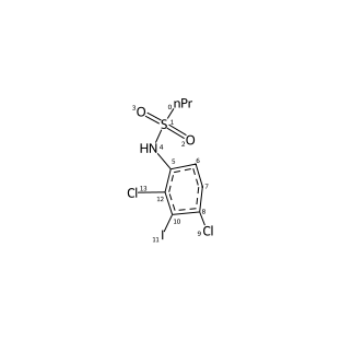 CCCS(=O)(=O)Nc1ccc(Cl)c(I)c1Cl